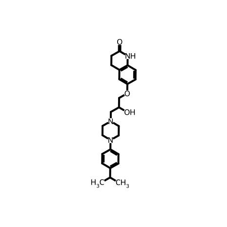 CC(C)c1ccc(N2CCN(CC(O)COc3ccc4c(c3)CCC(=O)N4)CC2)cc1